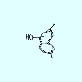 Cc1ccc2c(O)cc(F)cc2n1